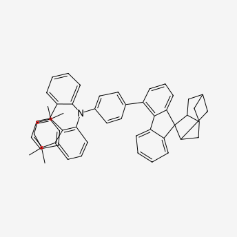 CC1(C)CCC(C)(C)c2c(N(c3ccc(-c4cccc5c4-c4ccccc4C54C5CC6CC(C5)C4C6)cc3)c3ccccc3-c3ccccc3)cccc21